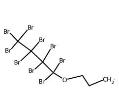 [CH2]CCOC(Br)(Br)C(Br)(Br)C(Br)(Br)C(Br)(Br)Br